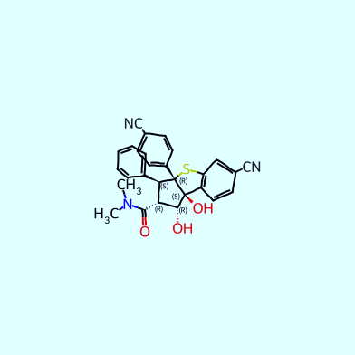 CN(C)C(=O)[C@H]1[C@@H](O)[C@@]2(O)c3ccc(C#N)cc3S[C@@]2(c2ccc(C#N)cc2)[C@@H]1c1ccccc1